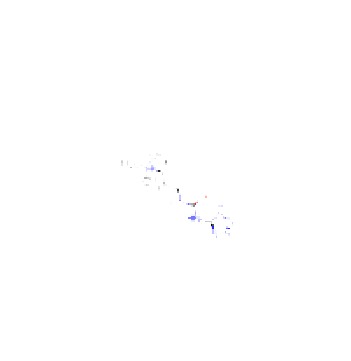 C[N+](C)(C)CCCNC(=O)Nc1nnn[nH]1